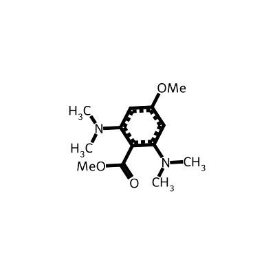 COC(=O)c1c(N(C)C)cc(OC)cc1N(C)C